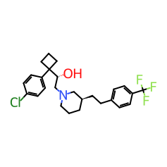 O[C@H](CN1CCC[C@H](CCc2ccc(C(F)(F)F)cc2)C1)C1(c2ccc(Cl)cc2)CCC1